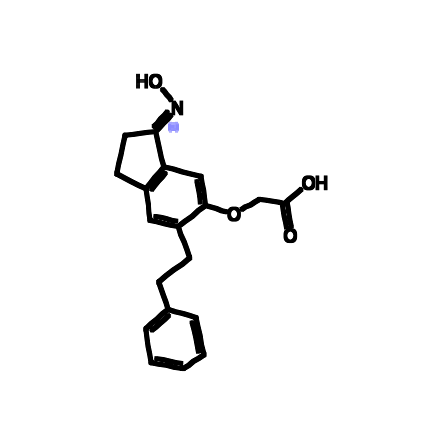 O=C(O)COc1cc2c(cc1CCc1ccccc1)CC/C2=N\O